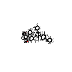 c1ccc(C2=NC(c3cccc4c3-c3ccccc3C43c4ccccc4Oc4ccccc43)NC(c3ccc(-c4ccccc4)cc3)N2)cc1